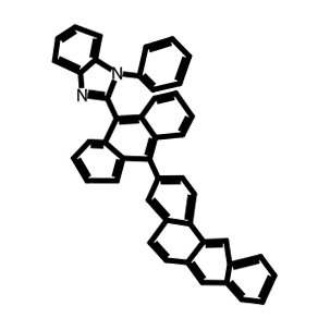 c1ccc(-n2c(-c3c4ccccc4c(-c4ccc5c(ccc6cc7ccccc7cc65)c4)c4ccccc34)nc3ccccc32)cc1